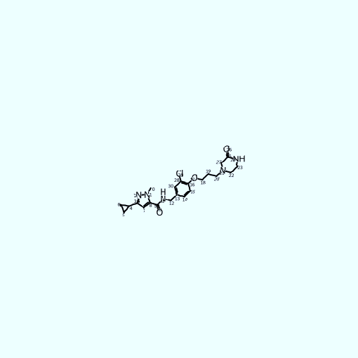 Cn1nc(C2CC2)cc1C(=O)NCc1ccc(OCCCN2CCNC(=O)C2)c(Cl)c1